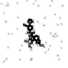 CO[C@H](c1c(NC(=O)Nc2cnc(-n3nccn3)c(C#N)c2)cnc2cc(C)nn12)C(C)C